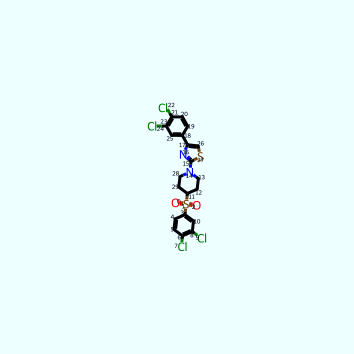 O=S(=O)(c1ccc(Cl)c(Cl)c1)C1CCN(c2nc(-c3ccc(Cl)c(Cl)c3)cs2)CC1